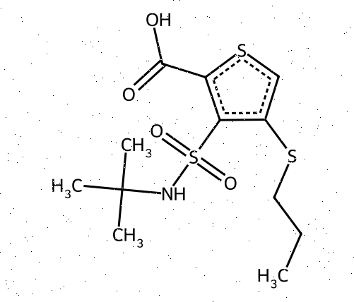 CCCSc1csc(C(=O)O)c1S(=O)(=O)NC(C)(C)C